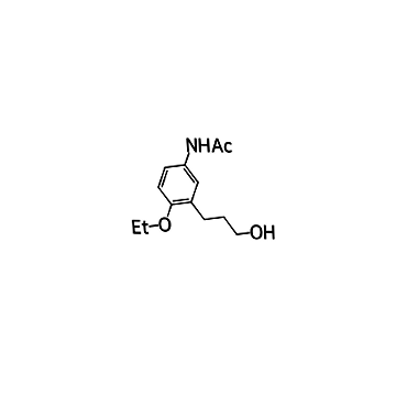 CCOc1ccc(NC(C)=O)cc1CCCO